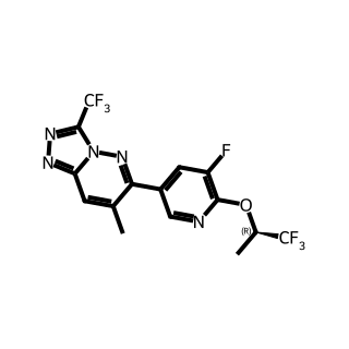 Cc1cc2nnc(C(F)(F)F)n2nc1-c1cnc(O[C@H](C)C(F)(F)F)c(F)c1